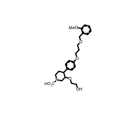 COc1ccccc1COCCCOc1ccc(C2CCN(C(=O)O)CC2OCCO)cc1